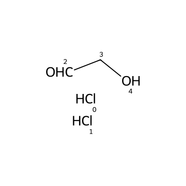 Cl.Cl.O=CCO